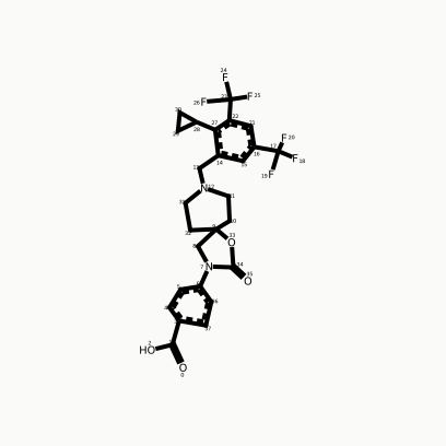 O=C(O)c1ccc(N2CC3(CCN(Cc4cc(C(F)(F)F)cc(C(F)(F)F)c4C4CC4)CC3)OC2=O)cc1